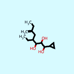 C=C(CC)CC(CC)C(O)C(O)C(O)C1CC1